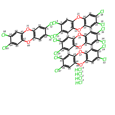 Cl.Cl.Cl.Cl.Clc1cc2c(cc1Cl)Oc1cc(Cl)c(Cl)cc1O2.Clc1cc2c(cc1Cl)Oc1cc(Cl)c(Cl)cc1O2.Clc1cc2c(cc1Cl)Oc1cc(Cl)c(Cl)cc1O2.Clc1cc2c(cc1Cl)Oc1cc(Cl)c(Cl)cc1O2